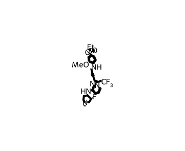 CCS(=O)(=O)c1ccc(NCC#Cc2nc3c(N[C@@H]4CCN(C)C[C@@H]4F)cccn3c2CC(F)(F)F)c(OC)c1